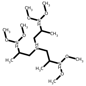 CO[SiH](OC)C(C)C[SiH](CC(C)[SiH](OC)OC)CC(C)[SiH](OC)OC